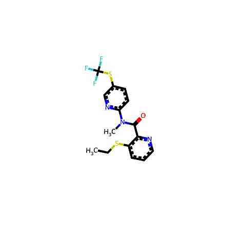 CCSc1cccnc1C(=O)N(C)c1ccc(SC(F)(F)F)cn1